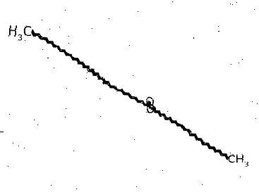 CCCCCCCCCCCCCCCCCCCCCCCCCCCCCCCCCCCCCCCC(=O)OCCCCCCCCCCCCCCCCCCCCCCCCCCC